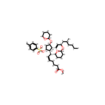 CCCC[C@H](C)C[C@H](/C=C/[C@@H]1[C@@H](C/C=C\CCCC(=O)OC)[C@H](OS(=O)(=O)c2ccc(C)cc2)C[C@H]1OC1CCCCO1)OC1CCCCO1